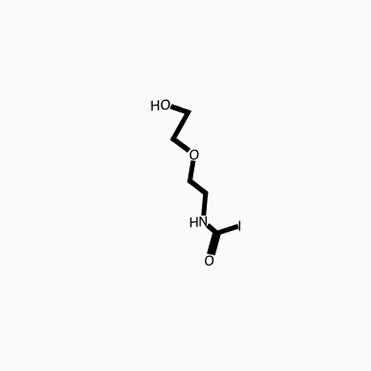 O=C(I)NCCOCCO